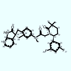 CN(C(=O)CN1C(=O)C(C)(C)CC[C@H]1c1cc(F)cc(F)c1)c1ccc2c(c1)C[C@@]1(C2)C(=O)Nc2ncccc21